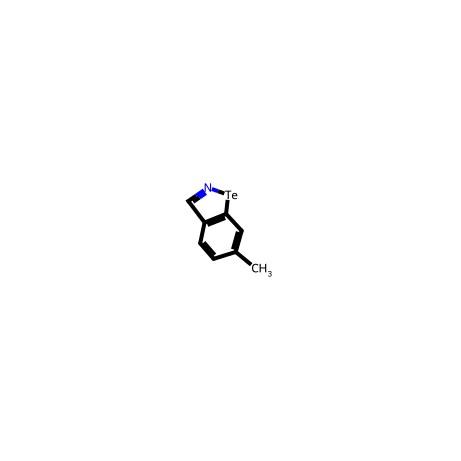 Cc1ccc2cn[te]c2c1